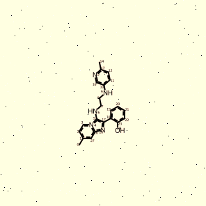 Cc1ccn2c(NCCNc3ccc(C)nc3)c(-c3ccccc3O)nc2c1